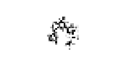 Cn1cc(-c2cnn3c(O)cc(C4CN(C(=O)OC(C)(C)C)CCS4)nc23)cn1